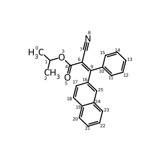 CC(C)OC(=O)C(C#N)=C(c1ccccc1)c1ccc2ccccc2c1